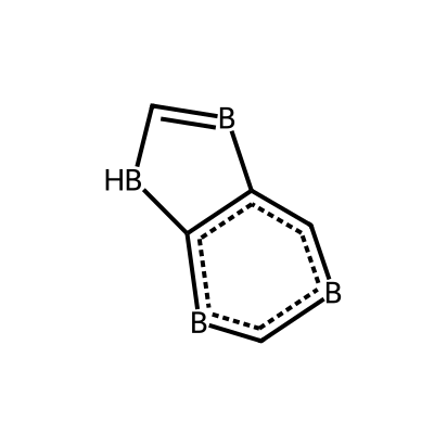 B1=CBc2bcbcc21